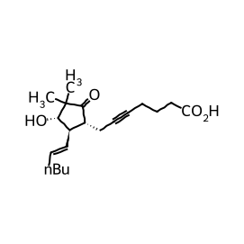 CCCC/C=C/[C@@H]1[C@@H](CC#CCCCC(=O)O)C(=O)C(C)(C)[C@H]1O